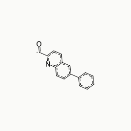 O=[C]c1ccc2cc(-c3ccccc3)ccc2n1